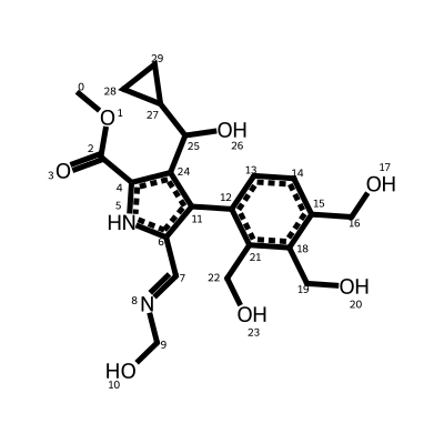 COC(=O)c1[nH]c(/C=N/CO)c(-c2ccc(CO)c(CO)c2CO)c1C(O)C1CC1